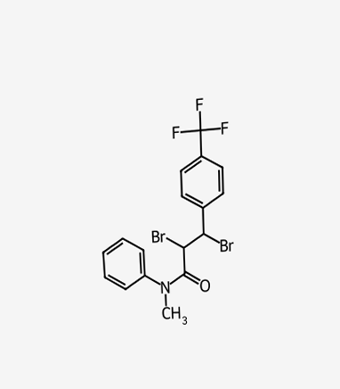 CN(C(=O)C(Br)C(Br)c1ccc(C(F)(F)F)cc1)c1ccccc1